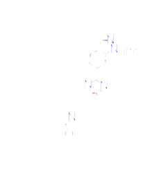 CC(C)n1ncc2ccc(-c3noc(C4CCN(C(=O)CCC5CCC5)CC4)n3)cc21